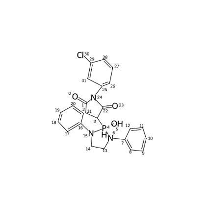 O=C1CC([PH]2(O)N(c3ccccc3)CCN2c2ccccc2)C(=O)N1c1cccc(Cl)c1